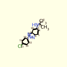 CC(Nc1ccc2nn(-c3ccc(Cl)cc3)nc2c1)C(F)(F)F